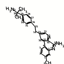 Cc1ccc2c(c1)nc(N)c1ncc(CCc3ccc(C(C)(C)N)cc3)cc12